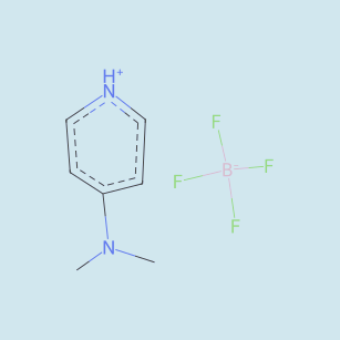 CN(C)c1cc[nH+]cc1.F[B-](F)(F)F